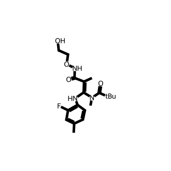 C/C(C(=O)NOCCO)=C(/Nc1ccc(C)cc1F)N(C)C(=O)C(C)(C)C